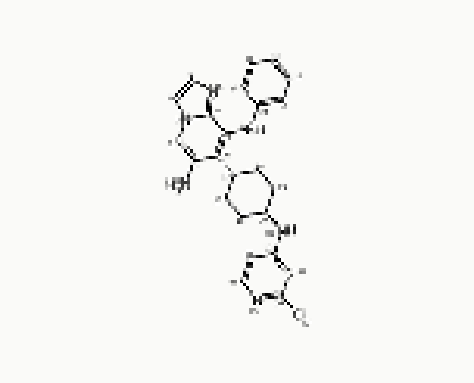 Nc1nn2ccnc2c(Nc2ccccc2)c1[C@H]1CC[C@H](Nc2ccnc(Cl)n2)CC1